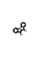 O=C1c2ccccc2-n2c1c(Br)c1ccccc12